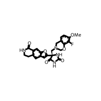 COc1ccc2c(c1F)OCN(C[C@@]1(c3cc4cc5c(cc4o3)C(=O)NCC5)NC(=O)NC1=O)C2